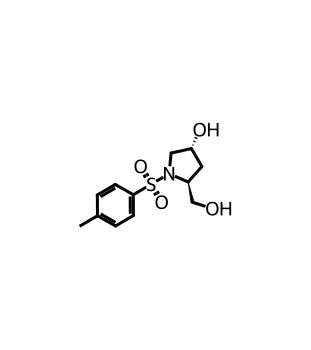 Cc1ccc(S(=O)(=O)N2C[C@H](O)C[C@H]2CO)cc1